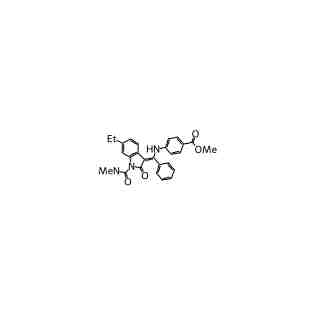 CCc1ccc2c(c1)N(C(=O)NC)C(=O)C2=C(Nc1ccc(C(=O)OC)cc1)c1ccccc1